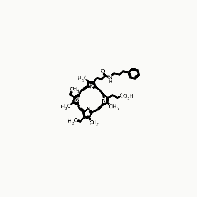 C=CC1=C(C)c2cc3[nH]c(cc4nc(cc5[nH]c(cc1n2)c(C)c5C=C)C(C)=C4CCC(=O)NCCCc1ccccc1)c(CCC(=O)O)c3C